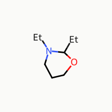 CCC1OCCCN1CC